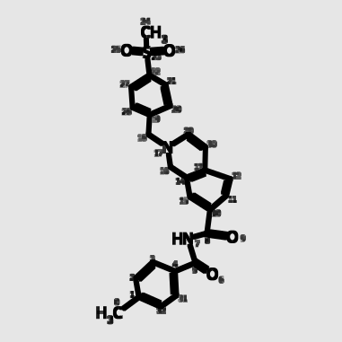 Cc1ccc(C(=O)NC(=O)c2ccc3c(c2)CN(Cc2ccc(S(C)(=O)=O)cc2)C=C3)cc1